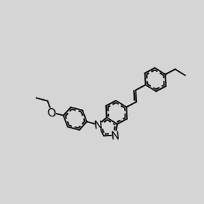 CCOc1ccc(-n2cnc3cc(/C=C/c4ccc(CC)cc4)ccc32)cc1